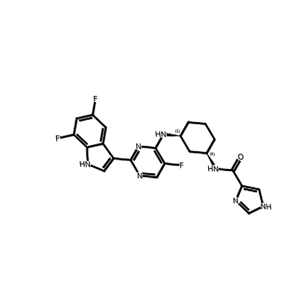 O=C(N[C@@H]1CCC[C@H](Nc2nc(-c3c[nH]c4c(F)cc(F)cc34)ncc2F)C1)c1c[nH]cn1